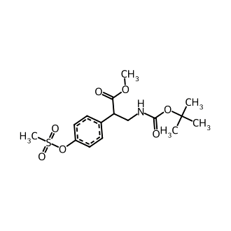 COC(=O)C(CNC(=O)OC(C)(C)C)c1ccc(OS(C)(=O)=O)cc1